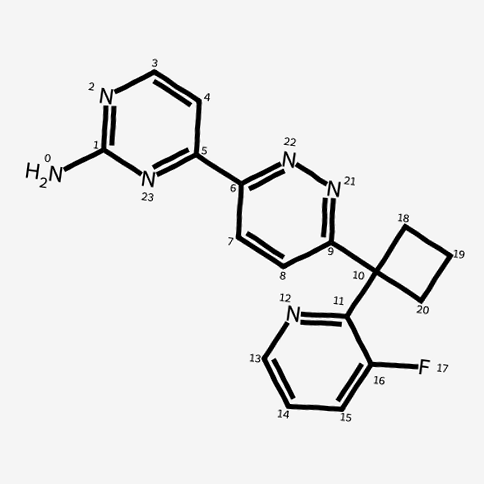 Nc1nccc(-c2ccc(C3(c4ncccc4F)CCC3)nn2)n1